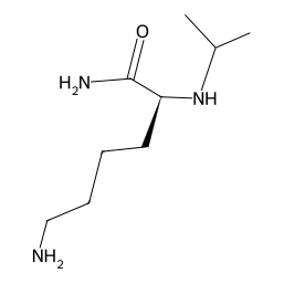 CC(C)N[C@@H](CCCCN)C(N)=O